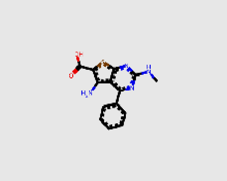 CNc1nc(-c2ccccc2)c2c(N)c(C(=O)O)sc2n1